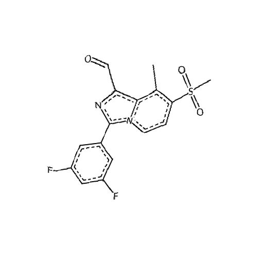 Cc1c(S(C)(=O)=O)ccn2c(-c3cc(F)cc(F)c3)nc(C=O)c12